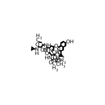 CCC[C@H](NC(=O)C1C[C@@H](Oc2nc(C3CC3)cc3cc(O)ccc23)CN1C(=O)C(NC(=O)NC(C)(C)C)C(C)(C)C)C(O)C(=O)NC1CC1